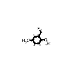 CCOc1ccc(C)cc1CF